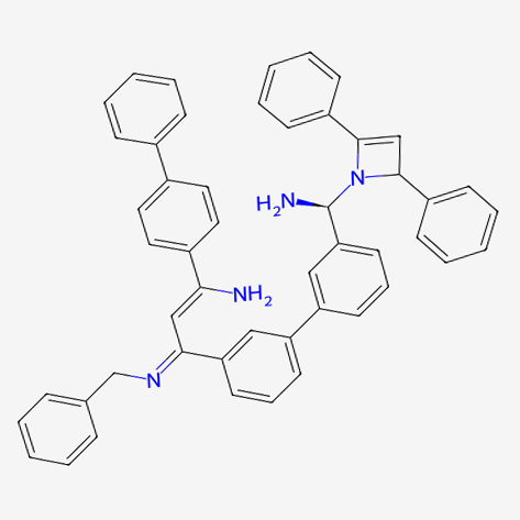 N/C(=C\C(=N/Cc1ccccc1)c1cccc(-c2cccc([C@@H](N)N3C(c4ccccc4)=CC3c3ccccc3)c2)c1)c1ccc(-c2ccccc2)cc1